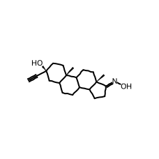 C#C[C@]1(O)CC[C@@]2(C)C(CCC3C2CC[C@]2(C)/C(=N/O)CCC32)C1